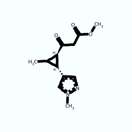 COC(=O)CC(=O)[C@@H]1C(C)[C@H]1c1cnn(C)c1